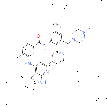 Cc1ccc(C(=O)Nc2cc(CN3CCN(C)CC3)cc(C(F)(F)F)c2)cc1Nc1cc(-c2ccncc2)nc2[nH]ccc12